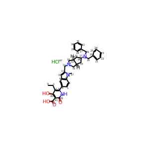 CCc1c(-c2ccc3c(c2)cc(CN2C[C@H]4C[C@@H](N(Cc5ccccc5)Cc5ccccc5)C[C@H]4C2)n3C)[nH]c(=O)c(C(=O)O)c1O.Cl